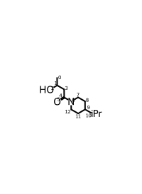 CC(O)CC(=O)N1CCC(C(C)C)CC1